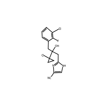 N#Cc1c[nH]c(CC(O)(Cc2cccc(Cl)c2F)C2(Cl)CC2)n1